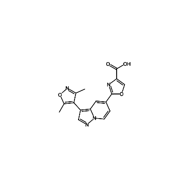 Cc1noc(C)c1-c1cnn2ccc(-c3nc(C(=O)O)co3)cc12